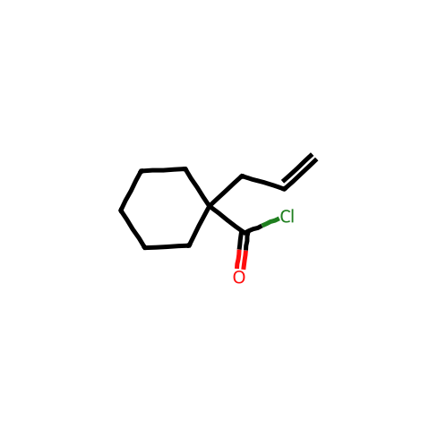 C=CCC1(C(=O)Cl)CCCCC1